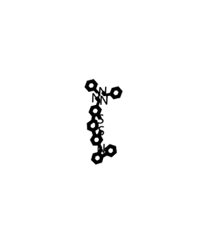 c1ccc(-c2nc(-c3ccccc3)nc(-c3ccc4c(c3)sc3c4ccc4c5ccc(-n6c7ccccc7c7ccccc76)cc5sc43)n2)cc1